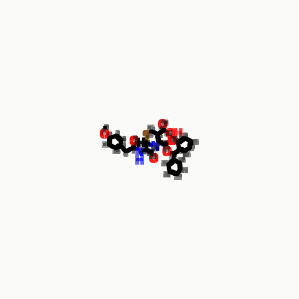 COc1ccc(CC(=O)NC2C(=O)N3C(C(=O)OC(c4ccccc4)c4ccccc4)=C(C(=O)O)CS[C@@H]23)cc1